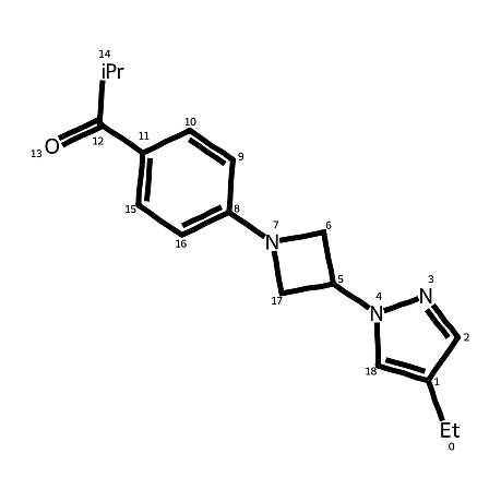 CCc1cnn(C2CN(c3ccc(C(=O)C(C)C)cc3)C2)c1